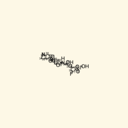 O=S(=O)(CCO)c1cc(F)cc(OC[C@@H](O)CN[C@H]2COC3(CCN(S(=O)(=O)c4ccc5ncccc5c4)CC3)C2)c1